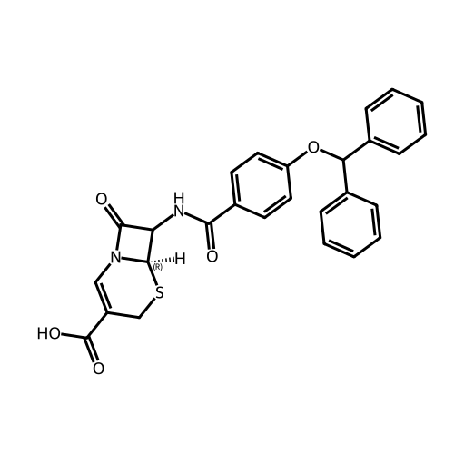 O=C(O)C1=CN2C(=O)C(NC(=O)c3ccc(OC(c4ccccc4)c4ccccc4)cc3)[C@H]2SC1